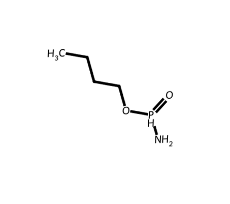 CCCCO[PH](N)=O